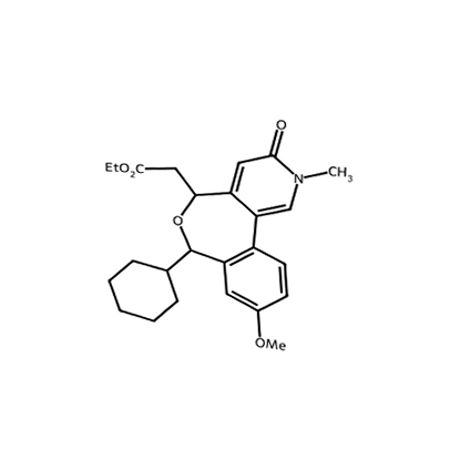 CCOC(=O)CC1OC(C2CCCCC2)c2cc(OC)ccc2-c2cn(C)c(=O)cc21